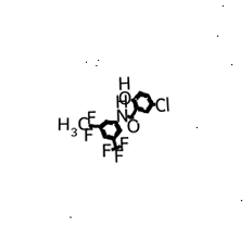 CC(F)(F)c1cc(NC(=O)c2cc(Cl)ccc2O)cc(C(F)(F)F)c1